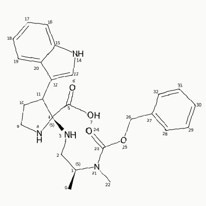 C[C@@H](CN[C@@]1(C(=O)O)NCCC1c1c[nH]c2ccccc12)N(C)C(=O)OCc1ccccc1